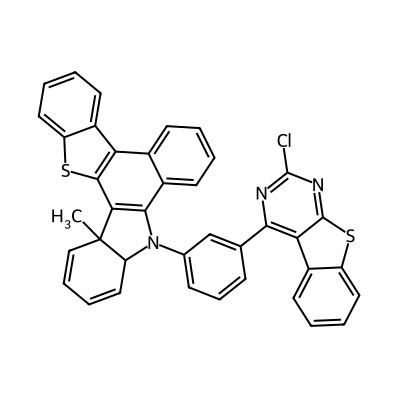 CC12C=CC=CC1N(c1cccc(-c3nc(Cl)nc4sc5ccccc5c34)c1)c1c2c2sc3ccccc3c2c2ccccc12